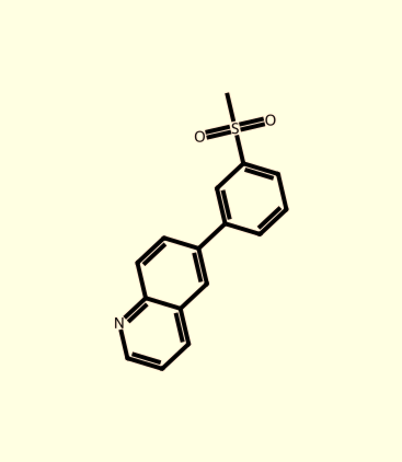 CS(=O)(=O)c1cccc(-c2ccc3ncccc3c2)c1